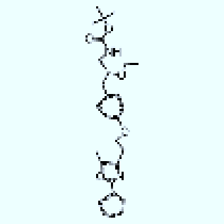 CCO[C@H](CNC(=O)OC(C)(C)C)Cc1ccc(OCCc2nc(-c3ccccc3)oc2C)cc1